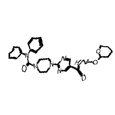 O=C(NOC1CCCCO1)c1cnc(N2CCN(C(=O)N(c3ccccc3)c3ccccc3)CC2)nc1